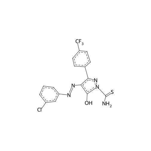 NC(=S)n1nc(-c2ccc(C(F)(F)F)cc2)c(/N=N/c2cccc(Cl)c2)c1O